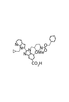 COc1cc(C(=O)O)cc2nc(-c3cc4cccnc4n3CC3CC3)n(CC3CCN(C(=O)OCc4ccccc4)CC3)c12